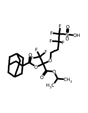 CC(C)OC(=O)C(OCCC(F)(F)C(F)(F)S(=O)(=O)O)(OC(=O)C12CC3CC(CC(C3)C1)C2)C(F)(F)F